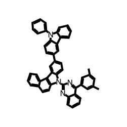 Cc1cc(C)cc(-c2nc(-n3c4ccc(-c5ccc6c(c5)c5ccccc5n6-c5ccccc5)cc4c4c5ccccc5ccc43)nc3ccccc23)c1